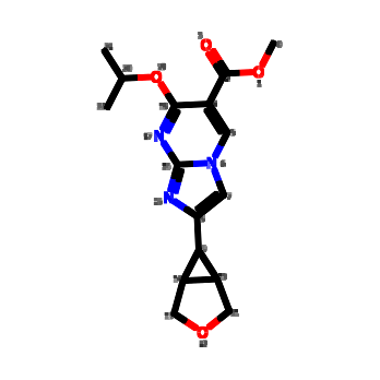 COC(=O)c1cn2cc(C3C4COCC43)nc2nc1OC(C)C